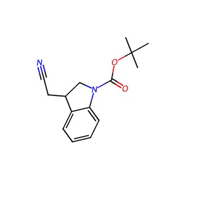 CC(C)(C)OC(=O)N1CC(CC#N)c2ccccc21